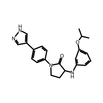 CC(C)Oc1cccc(NC2CCN(c3ccc(-c4cn[nH]c4)cc3)C2=O)c1